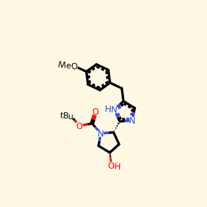 COc1ccc(Cc2cnc([C@@H]3C[C@@H](O)CN3C(=O)OC(C)(C)C)[nH]2)cc1